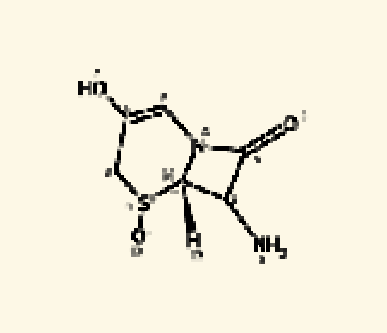 NC1C(=O)N2C=C(O)C[S+]([O-])[C@@H]12